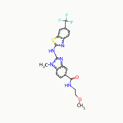 COCCNC(=O)c1ccc2c(c1)nc(Nc1nc3ccc(C(F)(F)F)cc3s1)n2C